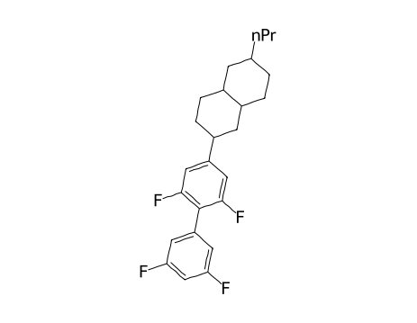 CCCC1CCC2CC(c3cc(F)c(-c4cc(F)cc(F)c4)c(F)c3)CCC2C1